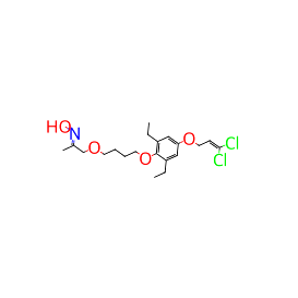 CCc1cc(OCC=C(Cl)Cl)cc(CC)c1OCCCCOCC(C)=NO